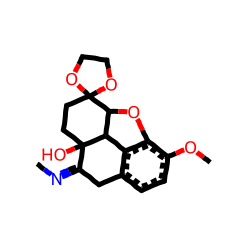 C/N=C1/Cc2ccc(OC)c3c2C2C(O3)C3(CCC12O)OCCO3